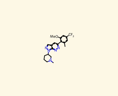 COc1cc(C(F)(F)F)cc(C)c1-c1cc2cnn(C3CCCN(C)C3)c2nn1